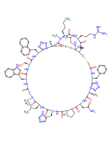 CCCC[C@H]1C(=O)N[C@@H](CCCNC(=N)N)C(=O)N[C@H]2CSCC(=O)N[C@@H](Cc3ccccc3)c3nnnn3[C@@H](C)C(=O)N[C@@H](CC(N)=O)C(=O)C3CCC[C@H]3C(=O)N[C@@H](Cc3cnc[nH]3)C(=O)N[C@@H](CC(C)C)C(=O)N(C)CC(=O)N[C@@H](Cc3c[nH]c4ccccc34)C(=O)N[C@@H](CO)C(=O)N[C@@H](Cc3cccc4ccccc34)c3nnnn3[C@@H](CCCOC2(C)NCC(N)=O)C(=O)N1C